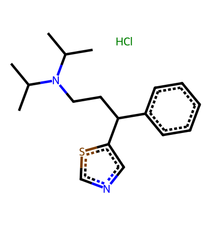 CC(C)N(CCC(c1ccccc1)c1cncs1)C(C)C.Cl